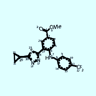 COC(=O)c1ccc(Nc2ccc(C(F)(F)F)cc2)c(-c2nnc(C3CC3)s2)c1